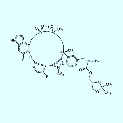 C[C@@H](Cc1cccc([C@@]2(C)CCCC(C)(C)CS(=O)(=O)CCc3c(c(F)cc4[nH]ccc34)Oc3ccc(F)c(c3)-c3nc2nn3C)c1)C(=O)OCC1COC(C)(C)O1